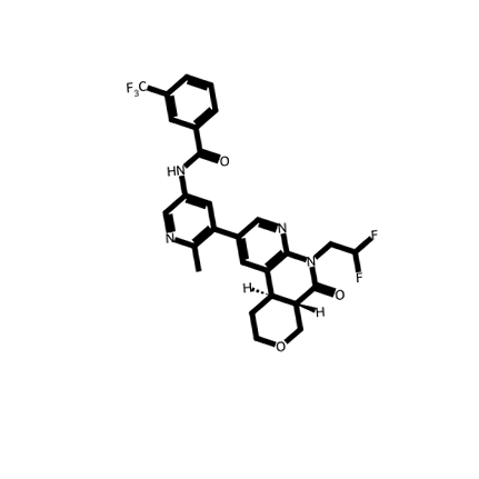 Cc1ncc(NC(=O)c2cccc(C(F)(F)F)c2)cc1-c1cnc2c(c1)[C@@H]1CCOC[C@H]1C(=O)N2CC(F)F